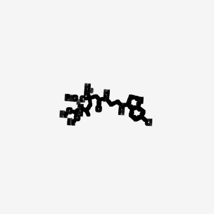 CCOC(=O)C(N)(CC(=O)NCCNc1ccnc2cc(Cl)ccc12)CC(C)NC(OCC)OCC